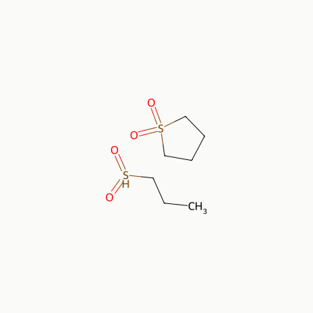 CCC[SH](=O)=O.O=S1(=O)CCCC1